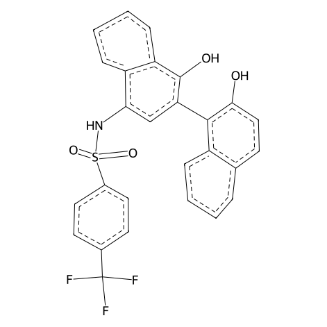 O=S(=O)(Nc1cc(-c2c(O)ccc3ccccc23)c(O)c2ccccc12)c1ccc(C(F)(F)F)cc1